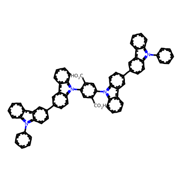 O=C(O)c1cc(-n2c3ccccc3c3cc(-c4ccc5c(c4)c4ccccc4n5-c4ccccc4)ccc32)c(C(=O)O)cc1-n1c2ccccc2c2cc(-c3ccc4c(c3)c3ccccc3n4-c3ccccc3)ccc21